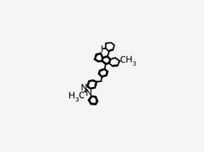 Cc1nc2ccc(Cc3ccc(-c4c5c(c(C6=CCCCC6I)c6ccccc46)CC(C)C=C5)cc3)cc2n1-c1ccccc1